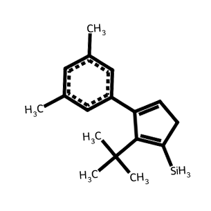 Cc1cc(C)cc(C2=CCC([SiH3])=C2C(C)(C)C)c1